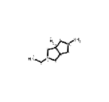 CCN1CC2CN(N)C[C@@H]2C1